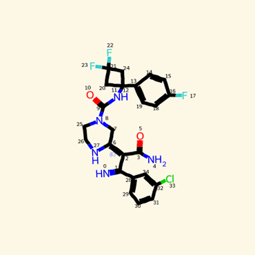 N=C(/C(C(N)=O)=C1/CN(C(=O)NC2(c3ccc(F)cc3)CC(F)(F)C2)CCN1)c1cccc(Cl)c1